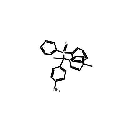 Cc1ccc(C(C)(c2ccc(N)cc2)P(=O)(c2ccccc2)c2ccccc2)cc1